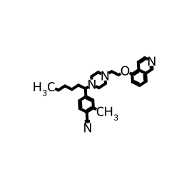 CCCCCC(c1ccc(C#N)c(C)c1)N1CCN(CCOc2cccc3cnccc23)CC1